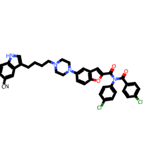 N#Cc1ccc2[nH]cc(CCCCN3CCN(c4ccc5oc(C(=O)N(C(=O)c6ccc(Cl)cc6)c6ccc(Cl)cc6)cc5c4)CC3)c2c1